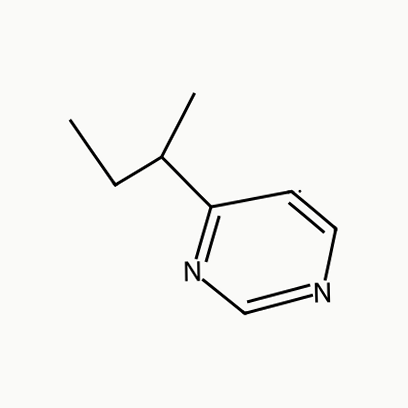 CCC(C)c1[c]cncn1